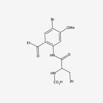 CCC(=O)c1cc(Br)c(OC)cc1NC(=O)C(CC(C)C)NC(=O)O